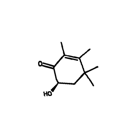 CC1=C(C)C(C)(C)C[C@@H](O)C1=O